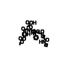 CCOC(=O)ON1CCN(C(=O)[C@H](CCC(=O)O)NC(=O)c2cc(OCC(=O)N3CC(C(=O)NC4CCC4)C3)n(-c3ccccc3)n2)CC1